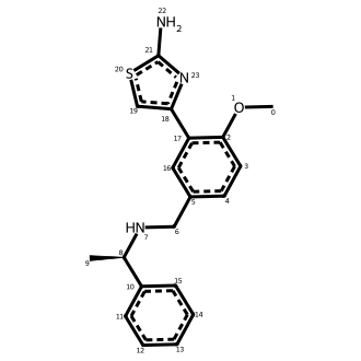 COc1ccc(CN[C@H](C)c2ccccc2)cc1-c1csc(N)n1